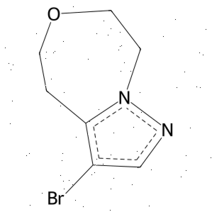 Brc1cnn2c1CCOCC2